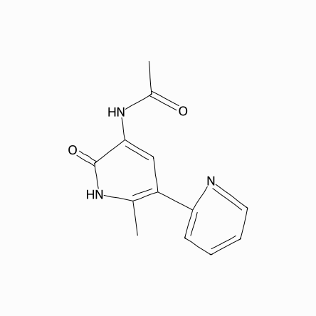 CC(=O)Nc1cc(-c2ccccn2)c(C)[nH]c1=O